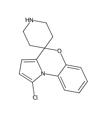 Clc1ccc2n1-c1ccccc1OC21CCNCC1